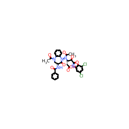 CC(=O)N1C[C@H](NC(=O)c2ccccc2)C(=O)N(N(C(C)=O)[C@@H](CC(=O)O)C(=O)c2nc3cc(Cl)cc(Cl)c3o2)c2ccccc21